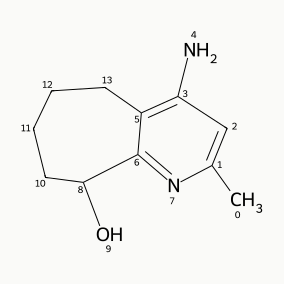 Cc1cc(N)c2c(n1)C(O)CCCC2